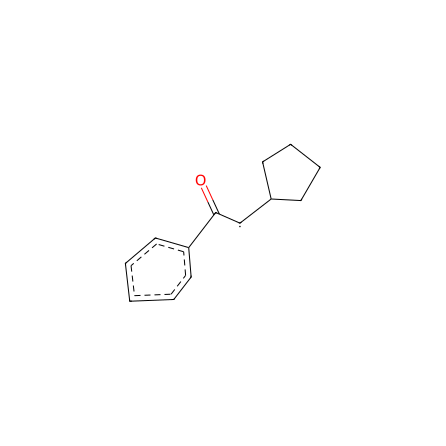 O=C([CH]C1CCCC1)c1ccccc1